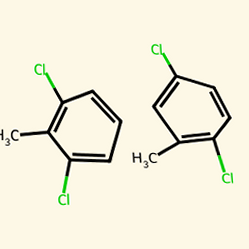 Cc1c(Cl)cccc1Cl.Cc1cc(Cl)ccc1Cl